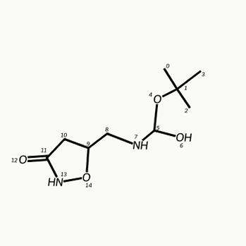 CC(C)(C)OC(O)NCC1CC(=O)NO1